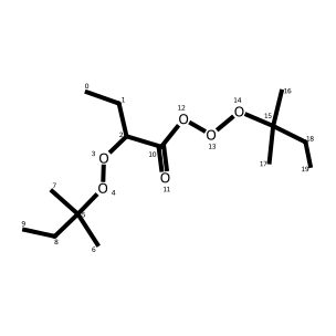 CCC(OOC(C)(C)CC)C(=O)OOOC(C)(C)CC